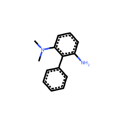 CN(C)c1cccc(N)c1-c1ccccc1